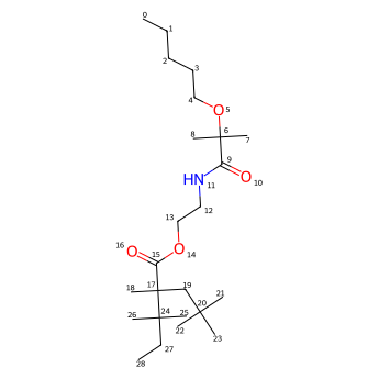 CCCCCOC(C)(C)C(=O)NCCOC(=O)C(C)(CC(C)(C)C)C(C)(C)CC